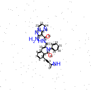 CC(=N)C#Cc1cccc2cc([C@@H](C)NC(=O)c3c(N)nn4cccnc34)n(-c3ccccc3)c(=O)c12